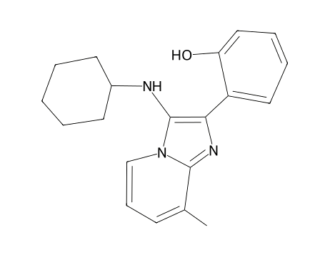 Cc1cccn2c(NC3CCCCC3)c(-c3ccccc3O)nc12